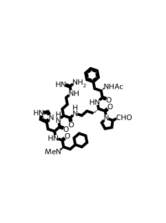 CN[C@H](CC1CCCCC1)C(=O)NC(Cc1c[nH]cn1)C(=O)NC(CCCNC(=N)N)C(=O)NCCC[C@H](NC(=O)[C@H](Cc1ccccc1)NC(C)=O)C(=O)N1CCCC1C=O